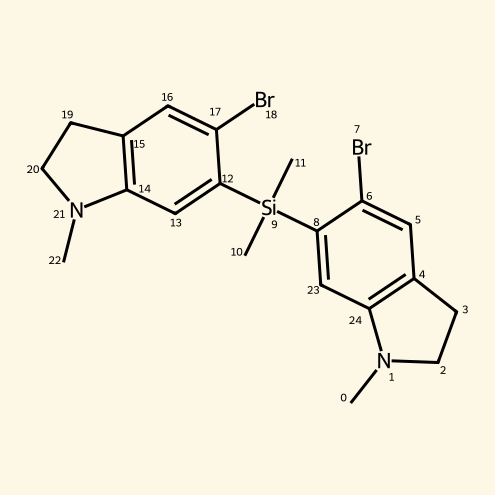 CN1CCc2cc(Br)c([Si](C)(C)c3cc4c(cc3Br)CCN4C)cc21